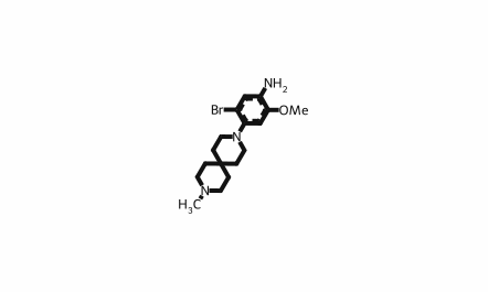 COc1cc(N2CCC3(CCN(C)CC3)CC2)c(Br)cc1N